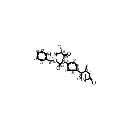 CC1CC(=O)NN=C1c1ccc(N(C(=O)OCc2ccccc2)C(=O)[C@H](C)N)cc1